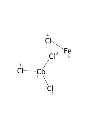 [Cl][Co]([Cl])[Cl].[Cl][Fe]